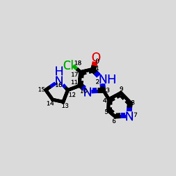 O=c1[nH]c(-c2ccncc2)nc(C2CCCN2)c1Cl